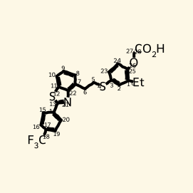 CCc1cc(SCCc2cccc3sc(-c4ccc(C(F)(F)F)cc4)nc23)ccc1OCC(=O)O